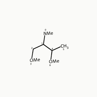 CNC(COC)C(C)OC